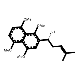 COc1ccc(OC)c2c(OC)c([C@H](S)CC=C(C)C)cc(OC)c12